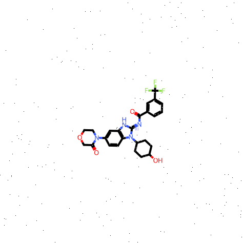 O=C(/N=c1\[nH]c2cc(N3CCOCC3=O)ccc2n1C1CCC(O)CC1)c1cccc(C(F)(F)F)c1